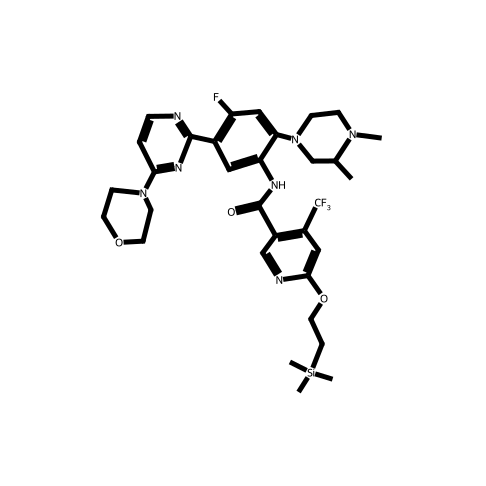 CC1CN(c2cc(F)c(-c3nccc(N4CCOCC4)n3)cc2NC(=O)c2cnc(OCC[Si](C)(C)C)cc2C(F)(F)F)CCN1C